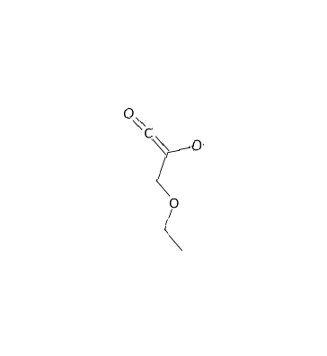 CCOCC([O])=C=O